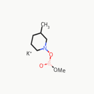 COB([O-])ON1CCCC(C)C1.[K+]